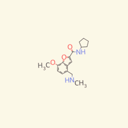 CNCc1ccc(OC)c2oc(C(=O)NC3CCCC3)cc12